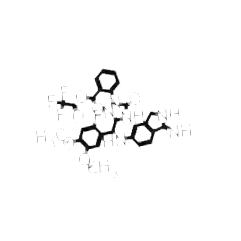 COc1cc(F)c(C(Nc2ccc3c(c2)CNC3=N)c2nn(-c3ccccc3C(=O)OC(=O)C(F)(F)F)c(=O)[nH]2)cc1OC